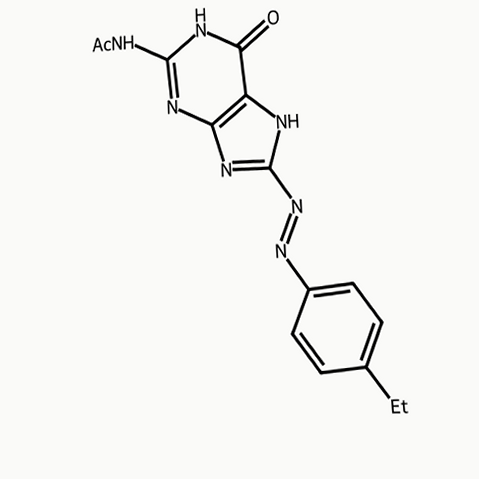 CCc1ccc(N=Nc2nc3nc(NC(C)=O)[nH]c(=O)c3[nH]2)cc1